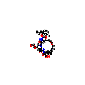 CC(C)(C)OC(=O)N[C@H]1CCCOC/C=C\[C@@H]2C[C@@]2(C(=O)O)NC(=O)[C@@H]2C[C@@H](OC=O)CN2C1=O